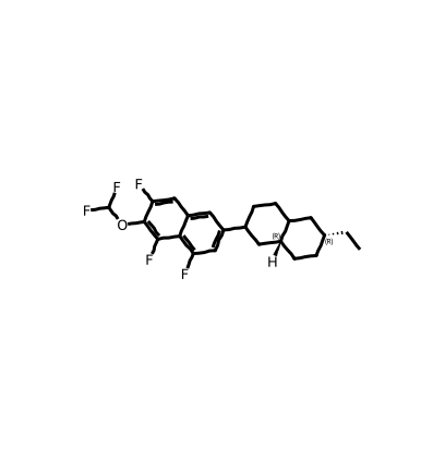 CC[C@@H]1CC[C@@H]2CC(c3cc(F)c4c(F)c(OC(F)F)c(F)cc4c3)CCC2C1